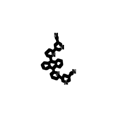 N#Cc1cncc(-c2cccc(-c3c4ccccc4c(-c4cccc(-c5cncc(C#N)c5)n4)c4ccccc34)n2)c1